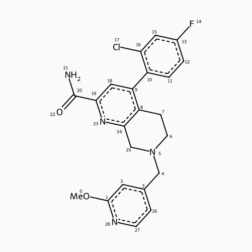 COc1cc(CN2CCc3c(-c4ccc(F)cc4Cl)cc(C(N)=O)nc3C2)ccn1